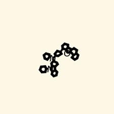 c1ccc(N(c2ccc(-c3cccc4c3oc3c5ccccc5ccc43)cc2)c2ccc3c4ccccc4n(-c4ccccc4)c3c2)cc1